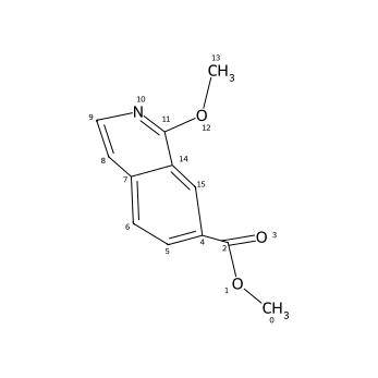 COC(=O)c1ccc2ccnc(OC)c2c1